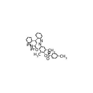 Cc1ccc(S(=O)(=O)Oc2c(C)cc(/N=N/c3ccccc3/C(=C/C(=O)N(C(C)C)C(C)C)c3ccccc3)cc2C)cc1